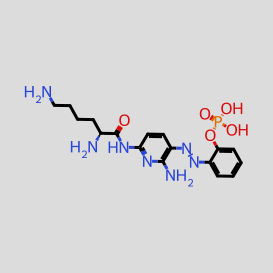 NCCCC[C@H](N)C(=O)Nc1ccc(/N=N/c2ccccc2OP(=O)(O)O)c(N)n1